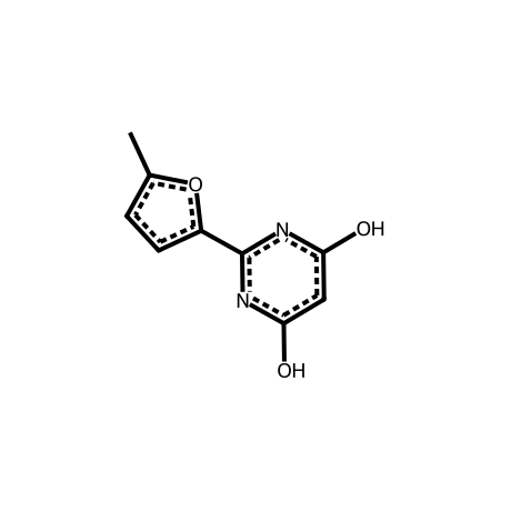 Cc1ccc(-c2nc(O)cc(O)n2)o1